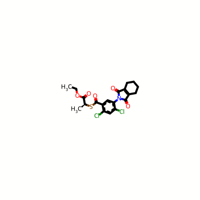 CCOC(=O)[C@H](C)SC(=O)c1cc(N2C(=O)C3=C(CCCC3)C2=O)c(Cl)cc1Cl